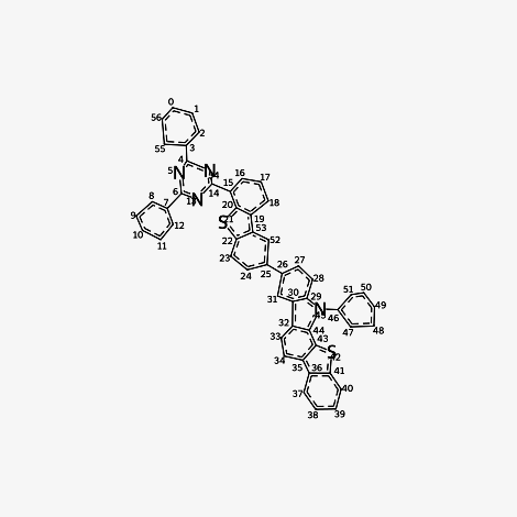 c1ccc(-c2nc(-c3ccccc3)nc(-c3cccc4c3sc3ccc(-c5ccc6c(c5)c5ccc7c8ccccc8sc7c5n6-c5ccccc5)cc34)n2)cc1